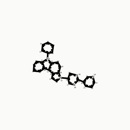 c1ccc(-n2c3ccccc3c3c4ccn(-c5cnc(-c6cccnc6)nc5)c4ccc32)cc1